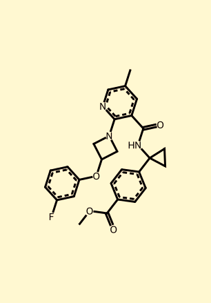 COC(=O)c1ccc(C2(NC(=O)c3cc(C)cnc3N3CC(Oc4cccc(F)c4)C3)CC2)cc1